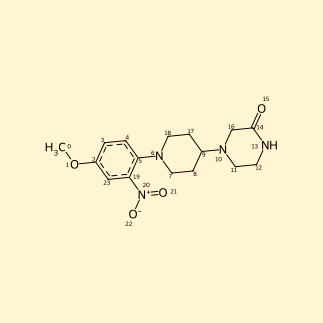 COc1ccc(N2CCC(N3CCNC(=O)C3)CC2)c([N+](=O)[O-])c1